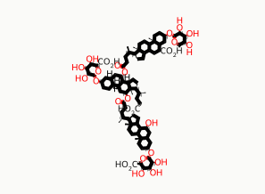 C[C@H](CCC(=O)O)[C@H]1CC[C@H]2[C@@H]3[C@H](OC(=O)CC[C@@H](C)[C@H]4CCC5C6CCC7C[C@H](OC8O[C@H](C(=O)O)[C@@H](O)[C@H](O)[C@H]8O)CC[C@]7(C)C6CC[C@@]54C)C[C@@H]4C[C@H](OC5O[C@H](C(=O)O)[C@@H](O)[C@H](O)[C@H]5O)CC[C@]4(C)[C@H]3C[C@H](OC(=O)CC[C@@H](C)[C@H]3CCC4C5C(CC[C@@]43C)[C@@]3(C)CC[C@@H](OC4O[C@H](C(=O)O)[C@@H](O)[C@H](O)[C@H]4O)CC3C[C@H]5O)[C@]12C